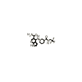 NC(=O)c1cnc2[nH]ccc2c1NN1CCC[C@H](C(=O)NCC(F)(F)F)C1